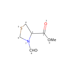 COC(=O)C1CSCN1[C]=O